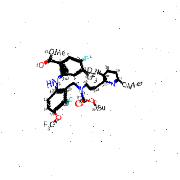 COC(=O)c1cc(F)c(C(F)(F)F)cc1Nc1ccc(OC(F)(F)F)c(F)c1CN(CCc1nc(OC)ccc1[N+](=O)[O-])C(=O)OC(C)(C)C